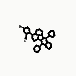 N#Cc1cc(Br)ccc1-c1ccc2c3c(cccc13)-c1c-2c(-c2ccccc2)c2ccccc2c1-c1ccccc1